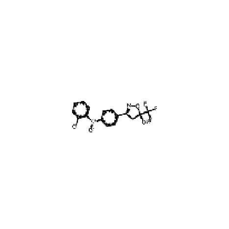 [O-][S+](c1ccc(C2=NOC(O)(C(F)(F)F)C2)cc1)c1ccccc1Cl